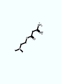 CN(C)CCOC(=O)CC(=N)N